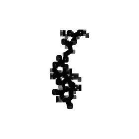 C#C[C@]1(C)[C@@H]2O[P@](=O)(OCCC(=O)OC(C)C)OC[C@H]2O[C@H]1n1ccc(=O)[nH]c1=O